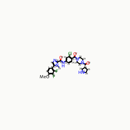 COc1ccc(-c2cnc(C(=O)Nc3ccc(C(=O)N4CCN(C(=O)[C@H]5CCNC5)CC4)c(Cl)c3)n2C)c(F)c1F